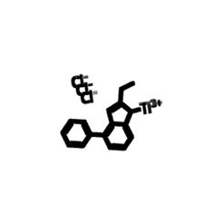 CCC1=Cc2c(-c3ccccc3)cccc2[CH]1[Ti+3].[Cl-].[Cl-].[Cl-]